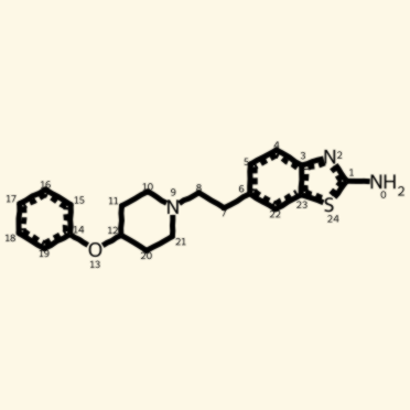 Nc1nc2ccc(CCN3CCC(Oc4ccccc4)CC3)cc2s1